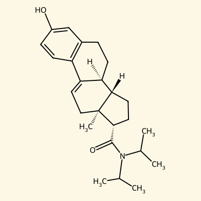 CC(C)N(C(=O)[C@H]1CC[C@H]2[C@@H]3CCc4cc(O)ccc4C3=CC[C@]12C)C(C)C